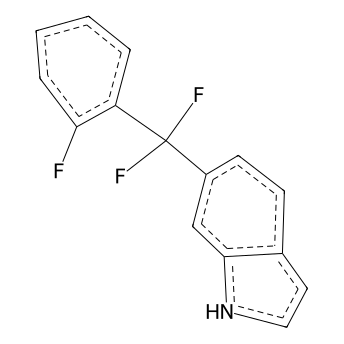 Fc1ccccc1C(F)(F)c1ccc2cc[nH]c2c1